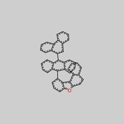 c1ccc2c(c1)cc(-c1c3ccccc3c(-c3cccc4oc5ccc6ccccc6c5c34)c3ccccc13)c1ccccc12